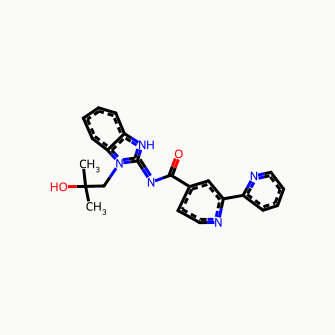 CC(C)(O)Cn1/c(=N/C(=O)c2ccnc(-c3ccccn3)c2)[nH]c2ccccc21